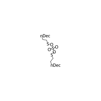 CCCCCCCCCCCCSOS(=O)(=O)OSCCCCCCCCCCCC